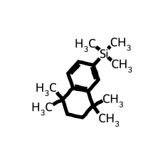 CC1(C)CCC(C)(C)c2cc([Si](C)(C)C)ccc21